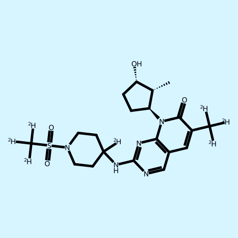 [2H]C1(Nc2ncc3cc(C([2H])([2H])[2H])c(=O)n([C@H]4CC[C@H](O)[C@@H]4C)c3n2)CCN(S(=O)(=O)C([2H])([2H])[2H])CC1